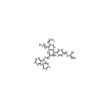 COc1ccc(C(NC(=O)OCC2c3ccccc3-c3ccccc32)c2ccc(OCC(=O)O)cc2)cc1OC